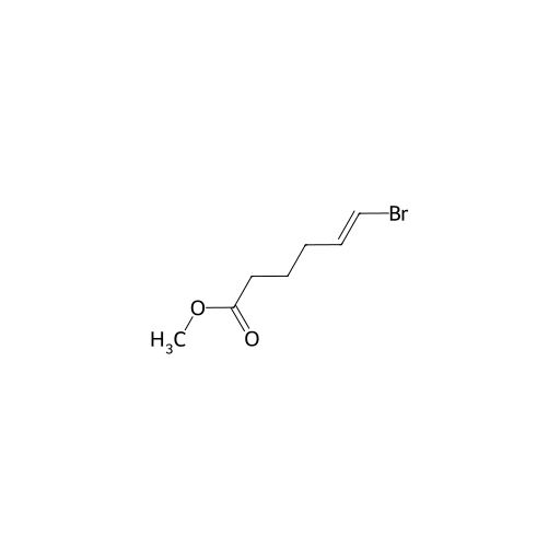 COC(=O)CCCC=CBr